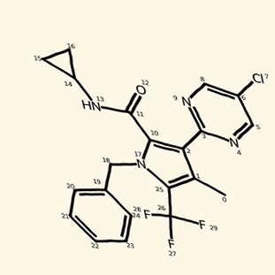 Cc1c(-c2ncc(Cl)cn2)c(C(=O)NC2CC2)n(Cc2ccccc2)c1C(F)(F)F